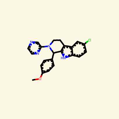 COc1ccc(C2c3[nH]c4ccc(Cl)cc4c3CCN2c2cnccn2)cc1